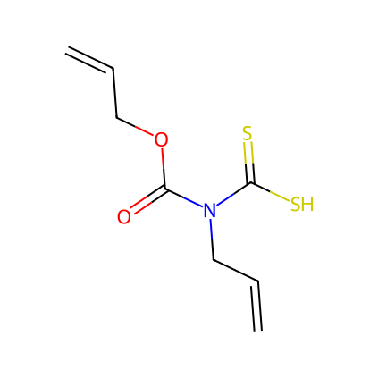 C=CCOC(=O)N(CC=C)C(=S)S